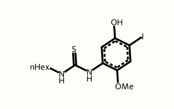 CCCCCCNC(=S)Nc1cc(O)c(I)cc1OC